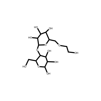 OCCOCC1OC(OC2C(CO)OC(O)C(O)C2O)C(O)C(O)C1O